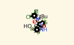 CC(C)(C)CN(C(=O)[C@@H]1C2CC(F)(F)CN2[C@@]2(C(=O)Nc3c(F)cc(F)cc32)[C@@H]1C(=O)O)c1cc(Cl)cc(Cl)c1